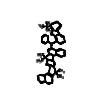 CC(C)(C)c1cccc2c1oc1c(N(c3ccccc3)c3cc4c(c5ccccc35)-c3cc5c(cc3C4(C)C)-c3c(ccc4ccccc34)C5(C)C)cccc12